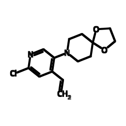 C=Cc1cc(Cl)ncc1N1CCC2(CC1)OCCO2